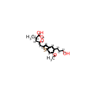 COc1cc2sc(CC(=O)C[C@H](C)C(=O)O)cc2cc1CCCO